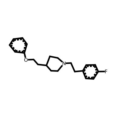 Fc1ccc(CCN2CCC(CCOc3ccccc3)CC2)cc1